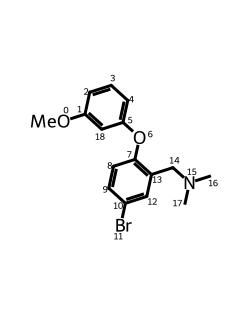 COc1cccc(Oc2ccc(Br)cc2CN(C)C)c1